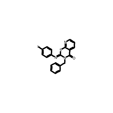 O=c1c2cccnc2sc(=Nc2ccc(I)cc2)n1Cc1ccccc1